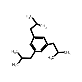 CC(C)Cc1[c]c(CC(C)C)cc(CC(C)C)[c]1